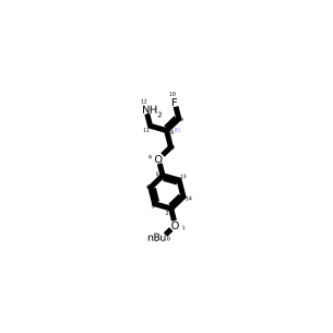 CCCCOc1ccc(OC/C(=C/F)CN)cc1